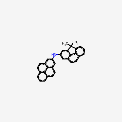 CC1(C)c2cccc3ccc4cc(Nc5cc6ccc7cccc8ccc(c5)c6c78)cc1c4c23